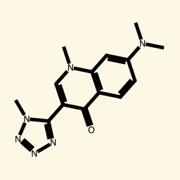 CN(C)c1ccc2c(=O)c(-c3nnnn3C)cn(C)c2c1